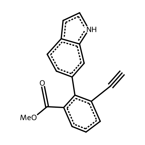 C#Cc1cccc(C(=O)OC)c1-c1ccc2cc[nH]c2c1